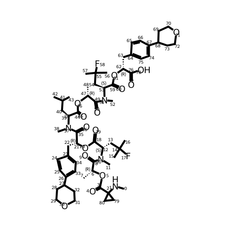 CNC1(C(=O)O[C@H](C)C(=O)N(C)[C@@H](CC(C)(C)F)C(=O)O[C@H](Cc2ccc(C3CCOCC3)cc2)C(=O)N(C)[C@@H](CC(C)C)C(=O)O[C@H](C)C(=O)N(C)[C@@H](CC(C)(C)F)C(=O)O[C@H](Cc2ccc(C3CCOCC3)cc2)C(=O)O)CC1